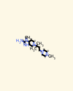 CN1CCN(CCC(C)(C)N2CCC(N(C)C(=N)N)CC2)CC1